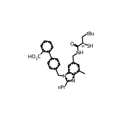 CCCc1nc2c(C)cc(CNC(=O)[C@H](S)CC(C)(C)C)cc2n1Cc1ccc(-c2ccccc2C(=O)O)cc1